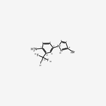 Nc1ccc(-n2ccc(Br)n2)cc1C(F)(F)F